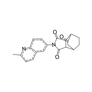 Cc1ccc2cc(N3C(=O)C4C5CCC(C(=O)C5)C4C3=O)ccc2n1